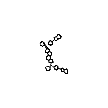 C1=C(c2ccc(N(c3ccccc3)c3ccc4c(c3)CCC3=C4CCc4cc(N(c5ccccc5)c5ccc(C6=Cc7ccccc7C6)cc5)ccc43)cc2)Cc2ccccc21